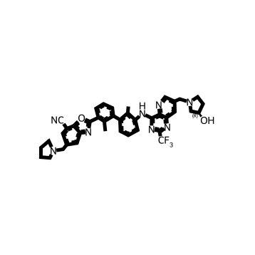 Cc1c(Nc2nc(C(F)(F)F)nc3cc(CN4CC[C@@H](O)C4)cnc23)cccc1-c1cccc(-c2nc3cc(CN4CCCC4)cc(C#N)c3o2)c1C